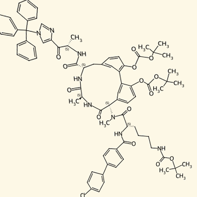 C[C@@H]1NC(=O)[C@@H](N(C)C(=O)[C@H](CCCCNC(=O)OC(C)(C)C)NC(=O)c2ccc(-c3ccc(Cl)cc3)cc2)c2ccc(OC(=O)OC(C)(C)C)c(c2)-c2cc(ccc2OC(=O)OC(C)(C)C)C[C@@H](C(=O)N[C@@H](C)C(=O)c2cn(C(c3ccccc3)(c3ccccc3)c3ccccc3)cn2)NC1=O